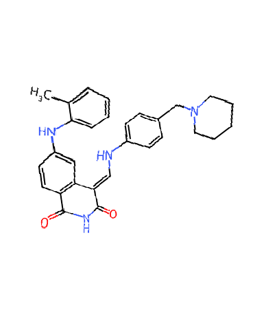 Cc1ccccc1Nc1ccc2c(c1)/C(=C\Nc1ccc(CN3CCCCC3)cc1)C(=O)NC2=O